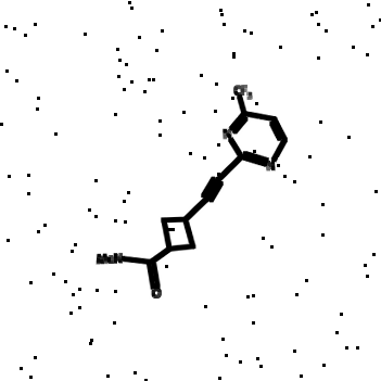 CNC(=O)C1CC(C#Cc2nccc(C(F)(F)F)n2)C1